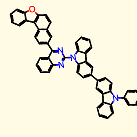 c1ccc(-n2c3ccccc3c3cc(-c4ccc5c(c4)c4ccccc4n5-c4nc(-c5ccc6c(ccc7oc8ccccc8c76)c5)c5ccccc5n4)ccc32)cc1